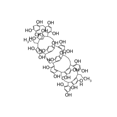 CCCC1c2cc(c(O)cc2O)C(c2cc(Cc3cc(C)c(O)cc3O)c(O)cc2O)CCCC2c3cc(c(O)cc3O)C(CCCC3c4cc(c(O)cc4O)C4CCCC(c5ccc(O)cc5O)c5cc(c(O)cc5O)C(CCC)c5cc(c(O)cc5O)C(CCCC(c5cc2c(O)cc5O)c2cc3c(O)cc2O)c2cc4c(O)cc2O)c2cc1c(O)cc2O